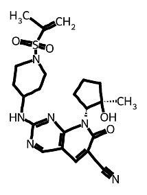 C=C(C)S(=O)(=O)N1CCC(Nc2ncc3cc(C#N)c(=O)n([C@@H]4CCC[C@@]4(C)O)c3n2)CC1